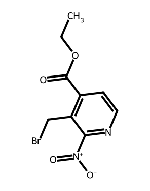 CCOC(=O)c1ccnc([N+](=O)[O-])c1CBr